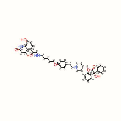 O=C(OCC1CCN(CCc2ccc(OCCCCCNCC(O)c3ccc(O)c4[nH]c(=O)ccc34)cc2)CC1)C(O)(c1ccccc1)c1ccccc1